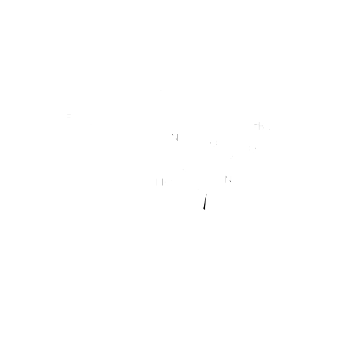 C[C@H]1Cc2cc(F)ccc2CN(C[C@@H](O)[C@H](Cc2ccccc2)NC(=O)OC(C)(C)C)C1